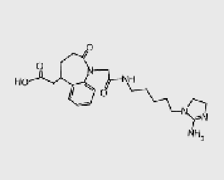 NC1=NCCN1CCCCCNC(=O)CN1C(=O)CCC(CC(=O)O)c2ccccc21